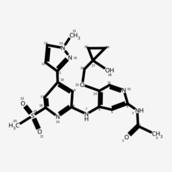 CC(=O)Nc1cc(Nc2cc(-c3ccn(C)n3)cc(S(C)(=O)=O)n2)c(OCC2(O)CC2)cn1